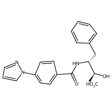 O=C(N[C@H](Cc1ccccc1)[C@@H](O)C(=O)O)c1ccc(-n2cccn2)cc1